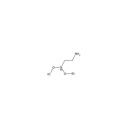 CCO[SiH](CCN)OCC